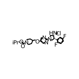 CC(C)OC(=O)N1CCC(COc2cnc(N3C[C@H](NCl)[C@@H](c4cc(F)ccc4F)C3)nc2)CC1